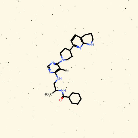 CCc1c(NCC(NC(=O)C2CCCCC2)C(=O)O)ncnc1N1CCC(c2ccc3c(n2)NCCC3)CC1